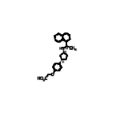 C[C@@H](N[C@@H]1CC[C@H](c2ccc(OCC(=O)O)cc2)C1)c1cccc2ccccc12